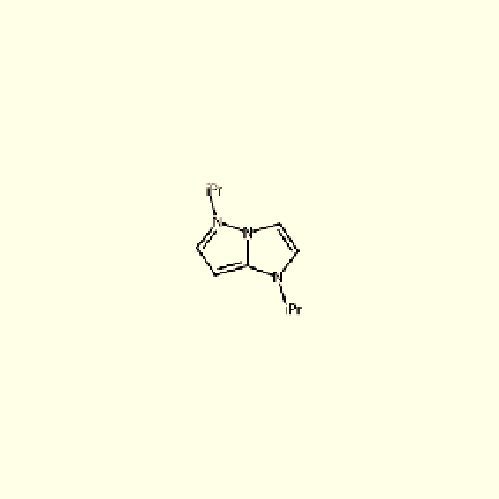 CC(C)n1ccn2c1cc[n+]2C(C)C